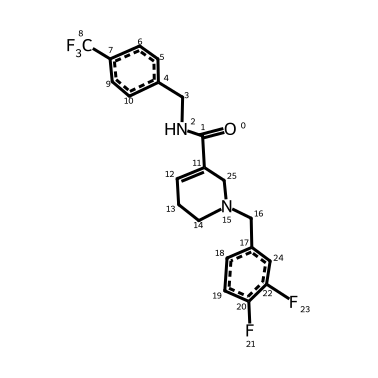 O=C(NCc1ccc(C(F)(F)F)cc1)C1=CCCN(Cc2ccc(F)c(F)c2)C1